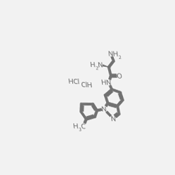 Cc1cccc(-n2ncc3ccc(NC(=O)[C@@H](N)CN)cc32)c1.Cl.Cl